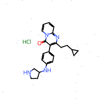 Cl.O=c1c(-c2ccc(NC3CCNC3)cc2)c(CCC2CC2)nc2ccccn12